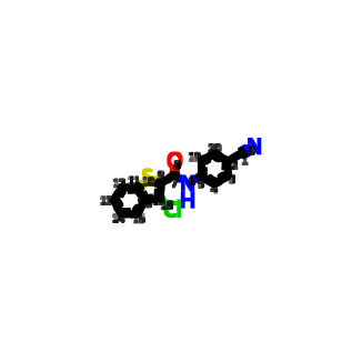 N#Cc1ccc(NC(=O)c2sc3ccccc3c2Cl)cc1